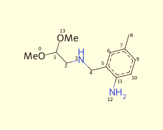 COC(CNCc1cc(C)ccc1N)OC